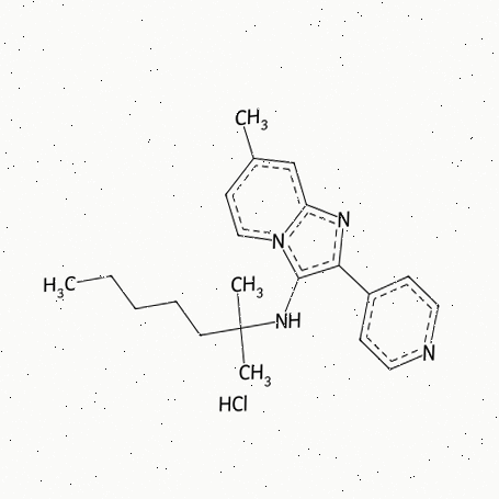 CCCCCC(C)(C)Nc1c(-c2ccncc2)nc2cc(C)ccn12.Cl